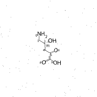 NC[C@H](O)CC(=O)C(=O)O